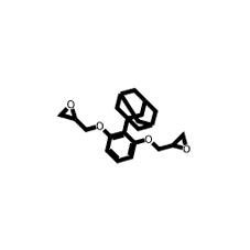 c1cc(OCC2CO2)c(C23CC4CC(CC(C4)C2)C3)c(OCC2CO2)c1